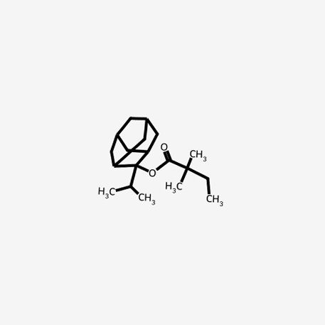 CCC(C)(C)C(=O)OC1(C(C)C)C2CC3CC(C2)CC1C3